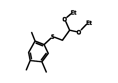 CCOC(CSc1cc(C)c(C)cc1C)OCC